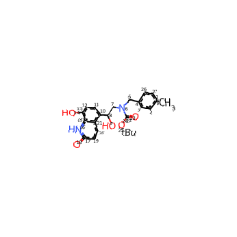 Cc1ccc(CN(CC(O)c2ccc(O)c3[nH]c(=O)ccc23)C(=O)OC(C)(C)C)cc1